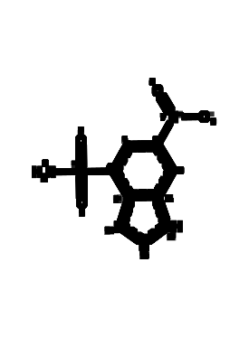 NS(=O)(=O)c1cc([N+](=O)[O-])cc2[nH]nnc12